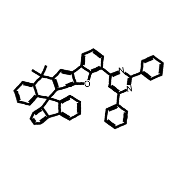 CC1(C)c2ccccc2C2(c3ccccc3-c3ccccc32)c2cc3oc4c(-c5cc(-c6ccccc6)nc(-c6ccccc6)n5)cccc4c3cc21